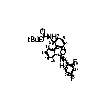 CC(C)(C)OC(=O)NCc1ccccc1-c1ccccc1C(=O)NCc1ccc(F)cc1F